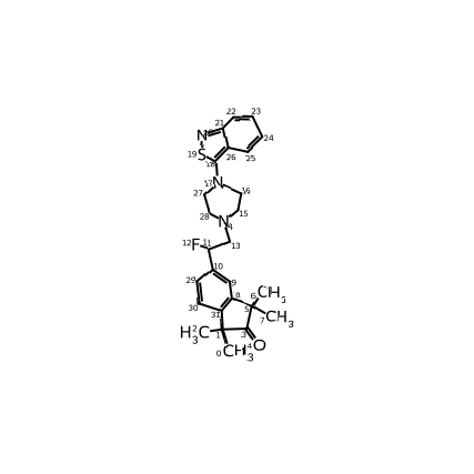 CC1(C)C(=O)C(C)(C)c2cc(C(F)CN3CCN(c4snc5ccccc45)CC3)ccc21